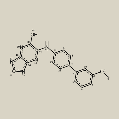 COc1cccc(-c2ccc(Nc3nc4nonc4nc3O)cc2)c1